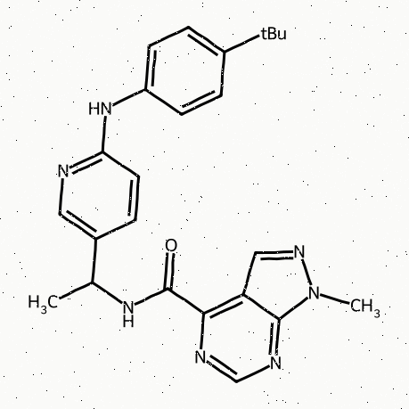 CC(NC(=O)c1ncnc2c1cnn2C)c1ccc(Nc2ccc(C(C)(C)C)cc2)nc1